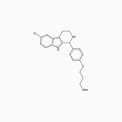 CNCCCOc1ccc(C2NCCc3c2[nH]c2ccc(Cl)cc32)cc1